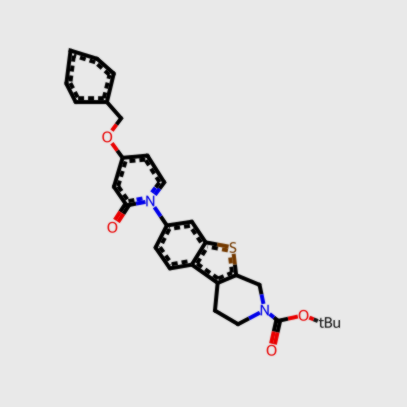 CC(C)(C)OC(=O)N1CCc2c(sc3cc(-n4ccc(OCc5ccccc5)cc4=O)ccc23)C1